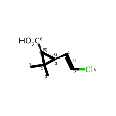 CC1(C)[C@H](/C=C/Cl)[C@@H]1C(=O)O